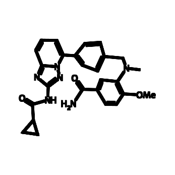 COc1ccc(C(N)=O)cc1N(C)Cc1ccc(-c2cccc3nc(NC(=O)C4CC4)nn23)cc1